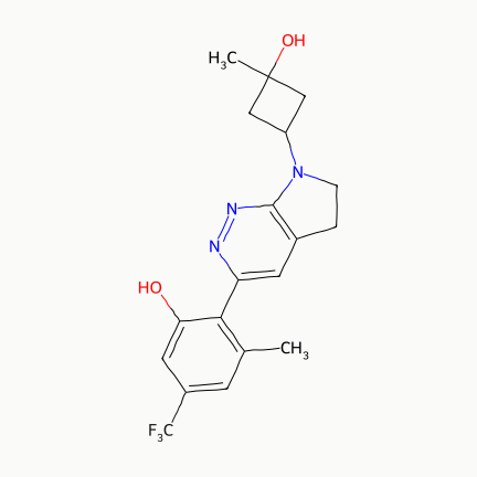 Cc1cc(C(F)(F)F)cc(O)c1-c1cc2c(nn1)N(C1CC(C)(O)C1)CC2